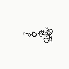 FCOc1ccc(-c2cnc(N[C@@H]3CCCC[C@H]3NC3CC[C@@H]4CCC3N4)o2)cc1